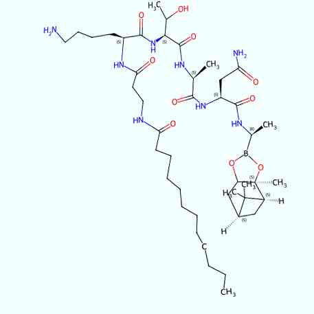 CCCCCCCCCCCC(=O)NCCC(=O)N[C@@H](CCCCN)C(=O)N[C@H](C(=O)N[C@@H](C)C(=O)N[C@@H](CC(N)=O)C(=O)N[C@@H](C)B1OC2C[C@@H]3C[C@@H](C3(C)C)[C@]2(C)O1)C(C)O